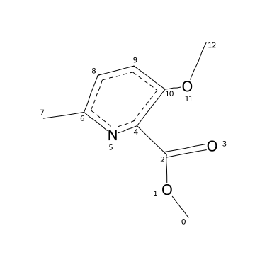 COC(=O)c1nc(C)ccc1OC